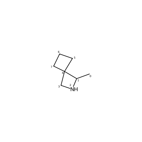 CC1NCC12CCC2